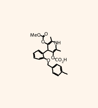 COC(=O)OC1=C(C)NC(C)=C(OC(=O)O)C1c1ccccc1OCc1ccc(C)cc1